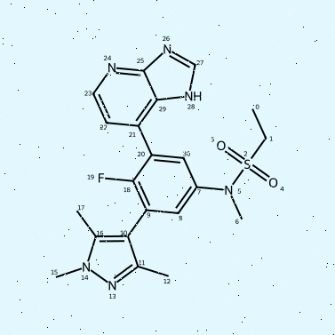 CCS(=O)(=O)N(C)c1cc(-c2c(C)nn(C)c2C)c(F)c(-c2ccnc3nc[nH]c23)c1